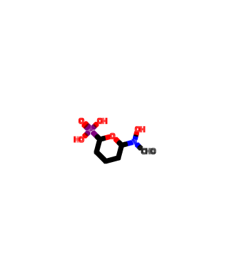 O=CN(O)C1CCCC(P(=O)(O)O)O1